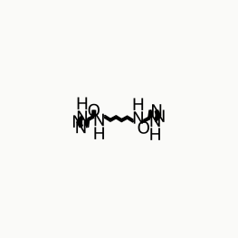 O=C(NCCCCCCNC(=O)c1cnn[nH]1)c1cnn[nH]1